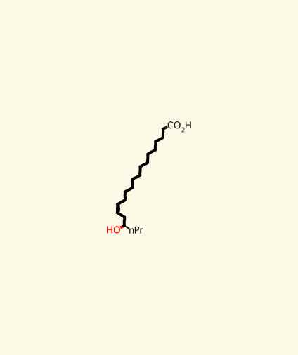 CCC[C@@H](O)C/C=C\CCCCCCCCCCCCC(=O)O